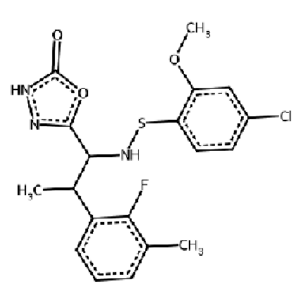 COc1cc(Cl)ccc1SNC(c1n[nH]c(=O)o1)C(C)c1cccc(C)c1F